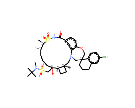 C[C@@H]1[C@@H](C)CCC[C@](O)(CS(=O)(=O)N(C)C(C)(C)C)[C@@H]2CC[C@H]2CN2C[C@@]3(CCCc4cc(Cl)ccc43)COc3ccc(cc32)C(=O)NS1(=O)=O